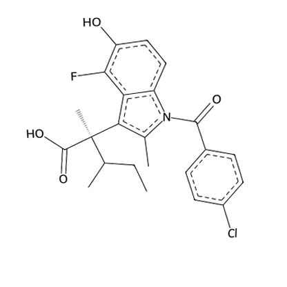 CCC(C)[C@@](C)(C(=O)O)c1c(C)n(C(=O)c2ccc(Cl)cc2)c2ccc(O)c(F)c12